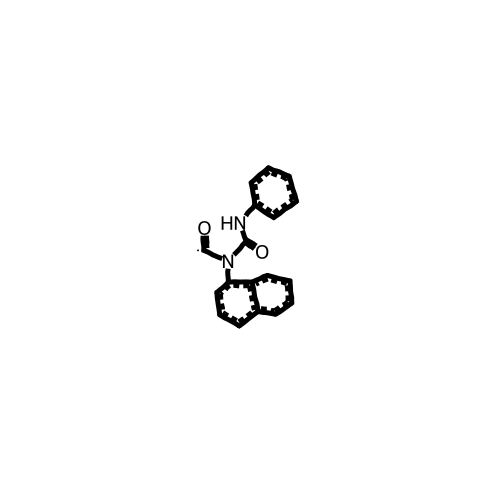 O=[C]N(C(=O)Nc1ccccc1)c1cccc2ccccc12